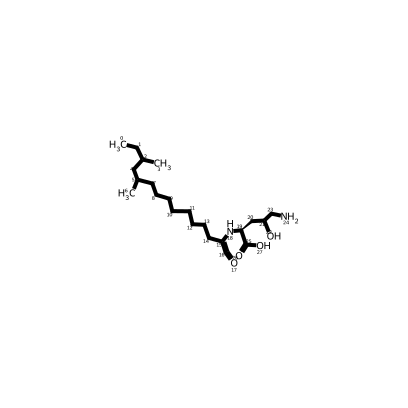 CCC(C)CC(C)CCCCCCCCC(=C=O)N[C@@H](CC(O)CN)C(=O)O